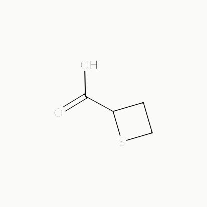 O=C(O)[C]1CCS1